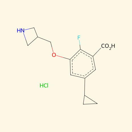 Cl.O=C(O)c1cc(C2CC2)cc(OCC2CNC2)c1F